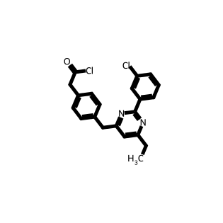 CCc1cc(Cc2ccc(CC(=O)Cl)cc2)nc(-c2cccc(Cl)c2)n1